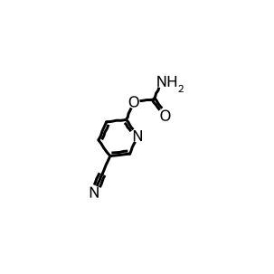 N#Cc1ccc(OC(N)=O)nc1